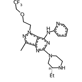 CC[C@@H]1CN(c2nc(Nc3ccccn3)c3c(n2)c(C)nn3CCOCC(F)(F)F)CCN1